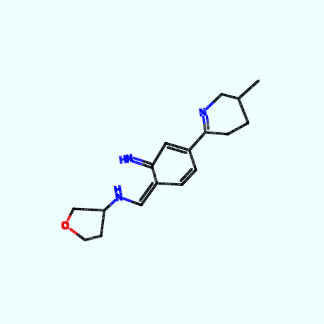 CC1CCC(C2=CC(=N)/C(=C\NC3CCOC3)C=C2)=NC1